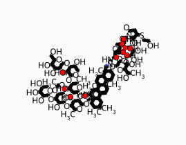 CC(=O)OC1C(C)OC(OC2C(C)OC(OC(=O)[C@]34CCC(C)(C)CC3C3=CCC5[C@@]6(C)CC[C@H](OC(OC(C(=O)O)C(C)O)C(OC7OCC(O)C(O)C7O)OC7OC(CO)C(O)C(O)C7O)[C@@](C)(/C=N/NC(=O)CCCCCN7C(=O)CC(SCCO)C7=O)C6CC[C@@]5(C)[C@]3(C)C[C@H]4O)C(OC3OC(C)C(OC4OCC(O)C(OC5OC(CO)C(O)C(O)C5O)C4O)C(O)C3O)C2O)C(O)C1OC1OCC(O)C(O)C1O